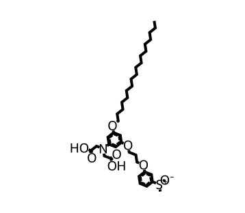 CCCCCCCCCCCCCCCCCCOc1cc(OCCCOc2cccc([S+](C)[O-])c2)cc(N(CC(=O)O)CC(=O)O)c1